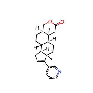 C[C@]12CC(=O)OC[C@@H]1CC[C@@H]1[C@@H]2CC[C@]2(C)C(c3cccnc3)=CC[C@@H]12